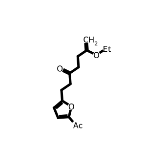 C=C(CCC(=O)CCc1ccc(C(C)=O)o1)OCC